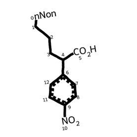 CCCCCCCCCCCCC(C(=O)O)c1ccc([N+](=O)[O-])cc1